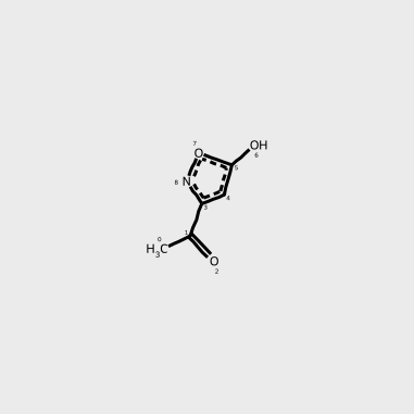 CC(=O)c1cc(O)on1